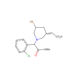 COC(=O)C(c1ccccc1Cl)N1C/C(=C\C(=O)O)CC(S)C1